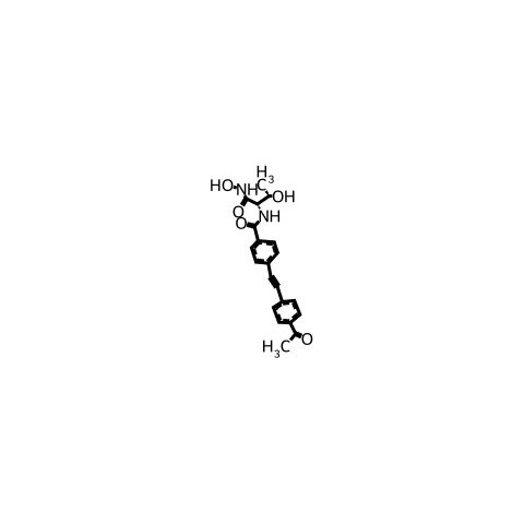 CC(=O)c1ccc(C#Cc2ccc(C(=O)N[C@H](C(=O)NO)[C@@H](C)O)cc2)cc1